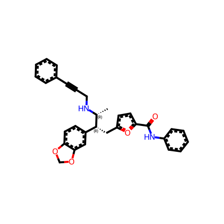 C[C@@H](NCC#Cc1ccccc1)[C@H](Cc1ccc(C(=O)Nc2ccccc2)o1)c1ccc2c(c1)OCO2